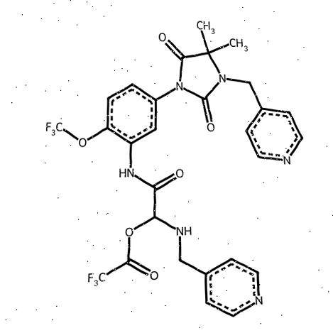 CC1(C)C(=O)N(c2ccc(OC(F)(F)F)c(NC(=O)C(NCc3ccncc3)OC(=O)C(F)(F)F)c2)C(=O)N1Cc1ccncc1